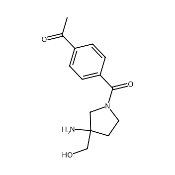 CC(=O)c1ccc(C(=O)N2CCC(N)(CO)C2)cc1